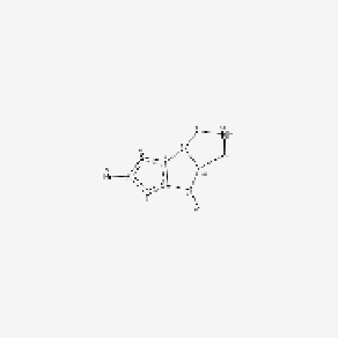 CC1c2cc(Br)sc2C2CNCC12